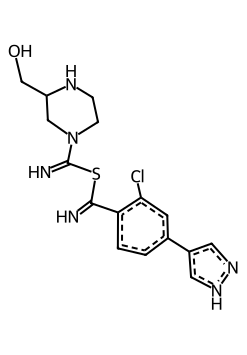 N=C(SC(=N)N1CCNC(CO)C1)c1ccc(-c2cn[nH]c2)cc1Cl